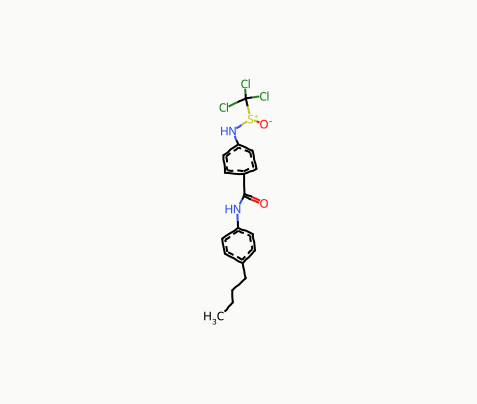 CCCCc1ccc(NC(=O)c2ccc(N[S+]([O-])C(Cl)(Cl)Cl)cc2)cc1